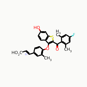 Cc1cc(/C=C/C(=O)O)ccc1Oc1c(C(=O)c2c(C)cc(F)cc2C)sc2cc(O)ccc12